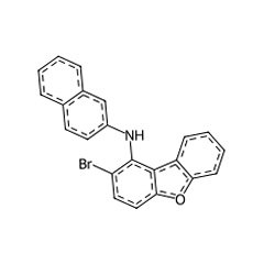 Brc1ccc2oc3ccccc3c2c1Nc1ccc2ccccc2c1